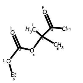 CCOC(=O)OC(C)(C)C(=O)Cl